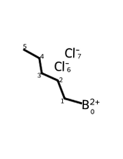 [B+2]CCCCC.[Cl-].[Cl-]